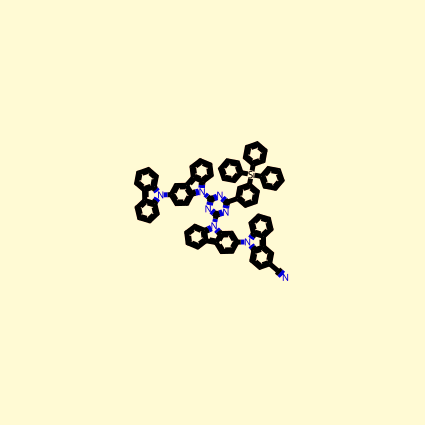 N#Cc1ccc2c(c1)c1ccccc1n2-c1ccc2c3ccccc3n(-c3nc(-c4cccc([Si](c5ccccc5)(c5ccccc5)c5ccccc5)c4)nc(-n4c5ccccc5c5cc(-n6c7ccccc7c7ccccc76)ccc54)n3)c2c1